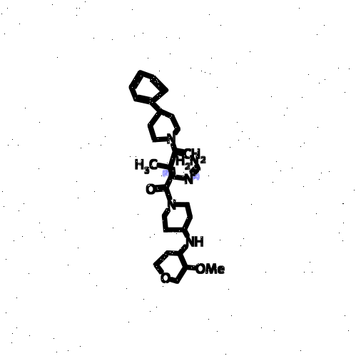 C=C(/C(C)=C(\N=C/N)C(=O)N1CCC(NC2CCOCC2OC)CC1)N1CCC(c2ccccc2)CC1